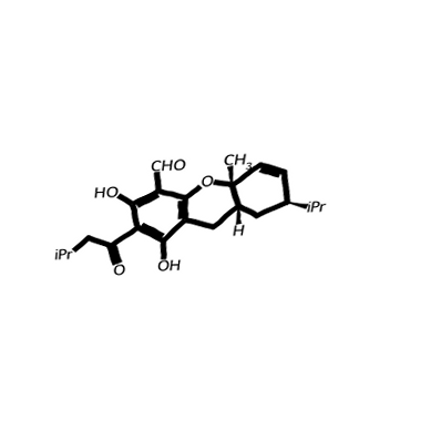 CC(C)CC(=O)c1c(O)c(C=O)c2c(c1O)C[C@H]1C[C@H](C(C)C)C=C[C@@]1(C)O2